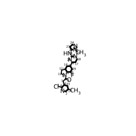 Cc1cnc(Cl)c(CC(=O)N2CCc3cc(-c4ccnc(Nc5ccnn5C)n4)cc(F)c32)c1